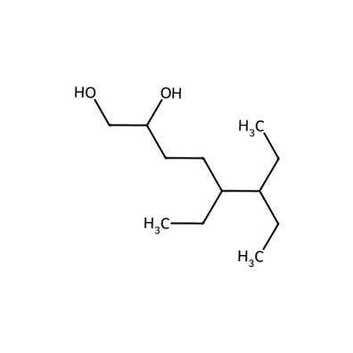 CCC(CC)C(CC)CCC(O)CO